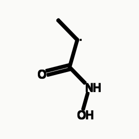 C[CH]C(=O)NO